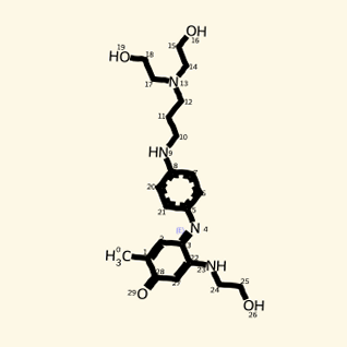 CC1=C/C(=N\c2ccc(NCCCN(CCO)CCO)cc2)C(NCCO)=CC1=O